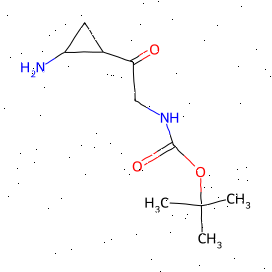 CC(C)(C)OC(=O)NCC(=O)C1CC1N